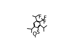 COSc1c(C(C)C)cc(C(C)C)c(C(F)(F)F)c1C(C)C